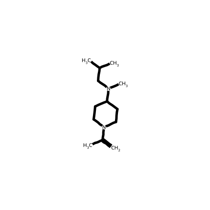 C=C(C)N1CCC(N(C)CC(C)C)CC1